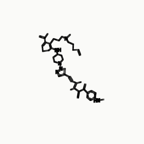 C=CCCCN(C)CCCC1=C(NC2CCN(n3cc(C#C/C(C)=C(\C)C(=C)C(=C)c4ccc(NC)cc4)cn3)CC2)CCC=C1C(=C)C